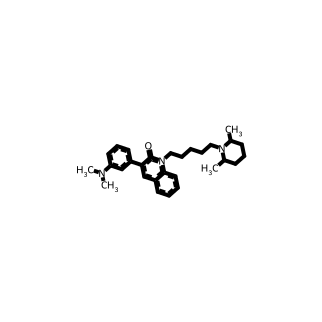 CC1CCCC(C)N1CCCCCn1c(=O)c(-c2cccc(N(C)C)c2)cc2ccccc21